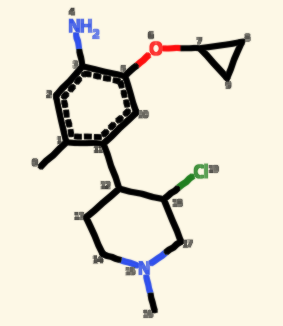 Cc1cc(N)c(OC2CC2)cc1C1CCN(C)CC1Cl